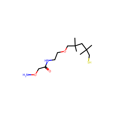 CC(C)(CS)CC(C)(C)COCCNC(=O)CON